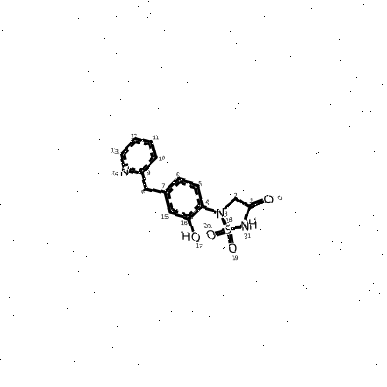 O=C1CN(c2ccc(Cc3ccccn3)cc2O)S(=O)(=O)N1